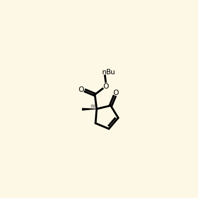 CCCCOC(=O)[C@@]1(C)CC=CC1=O